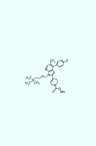 CC(C)(C)OC(=O)N1CC=C(c2cc3c(-c4ccc(F)cc4)c(C(F)(F)F)cnc3n2COCC[Si](C)(C)C)CC1